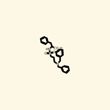 O=C(O)C(Cc1ccccc1)NS(=O)(=O)CCCN(Cc1ccccc1)Cc1ccccc1